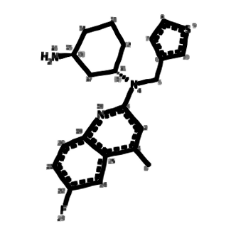 Cc1cc(N(Cc2ccsc2)[C@H]2CCC[C@H](N)C2)nc2ccc(F)cc12